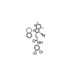 COc1ccc(NC(=O)C=Cc2c(C#N)c3c(C)cc(C)nc3n2[C@H]2CCCc3ccccc32)cc1OC